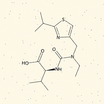 CCN(Cc1csc(C(C)C)n1)C(=O)N[C@H](C(=O)O)C(C)C